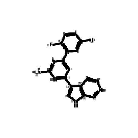 Nc1nc(-c2cc(Cl)ccc2F)cc(-c2c[nH]c3cnccc23)n1